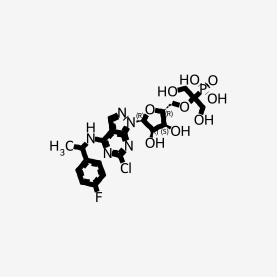 CC(Nc1nc(Cl)nc2c1cnn2[C@@H]1O[C@H](COC(CO)(CO)P(=O)(O)O)[C@@H](O)[C@H]1O)c1ccc(F)cc1